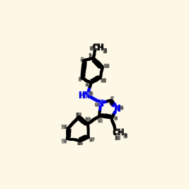 Cc1ccc(Nn2cnc(C)c2-c2ccccc2)cc1